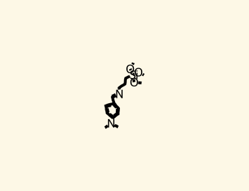 CO[Si](CCCN=Cc1ccc(N(C)C)cc1)(OC)OC